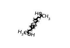 CC(O)CCc1csc(Sc2cc(CCC(C)O)cs2)c1